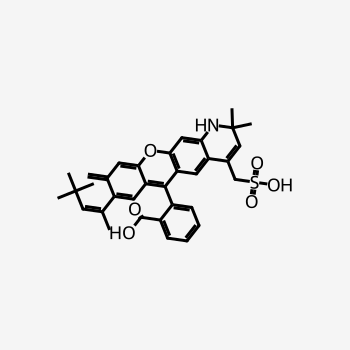 C=c1cc2c(cc1/C(C)=C\C(C)(C)C)=C(c1ccccc1C(=O)O)c1cc3c(cc1O2)NC(C)(C)C=C3CS(=O)(=O)O